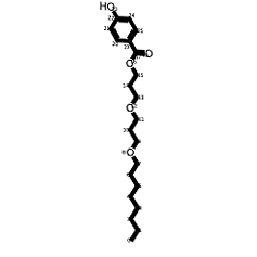 CCCCCCCCOCCCOCCCOC(=O)c1ccc(O)cc1